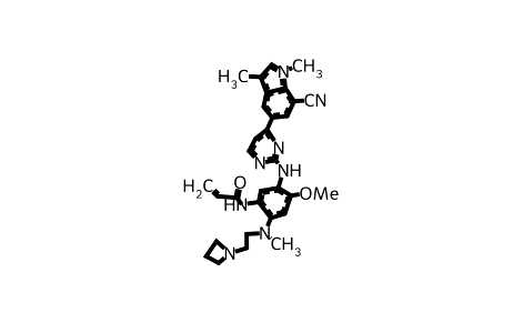 C=CC(=O)Nc1cc(Nc2nccc(-c3cc(C#N)c4c(c3)c(C)cn4C)n2)c(OC)cc1N(C)CCN1CCC1